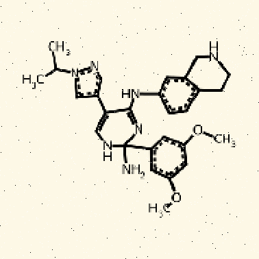 COc1cc(OC)cc(C2(N)N=C(Nc3ccc4c(c3)CNCC4)C(c3cnn(C(C)C)c3)=CN2)c1